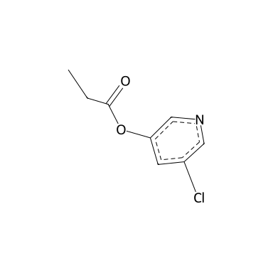 CCC(=O)Oc1cncc(Cl)c1